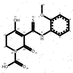 COc1ccccc1NC(=S)C1=C(O)CCN(C(=O)O)C1=O